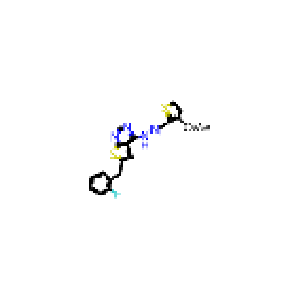 COc1ccsc1/C=N/Nc1ncnc2sc(Cc3ccccc3F)cc12